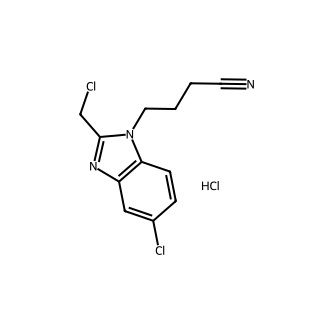 Cl.N#CCCCn1c(CCl)nc2cc(Cl)ccc21